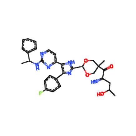 CC(O)CC(=N)C(=O)C1(C)COC(c2nc(-c3ccc(F)cc3)c(-c3ccnc(NC(C)c4ccccc4)n3)[nH]2)OC1